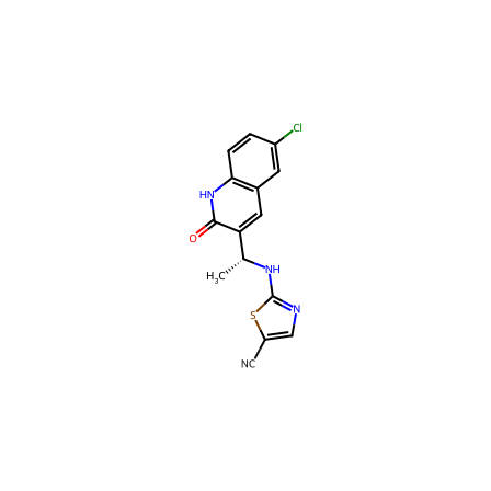 C[C@@H](Nc1ncc(C#N)s1)c1cc2cc(Cl)ccc2[nH]c1=O